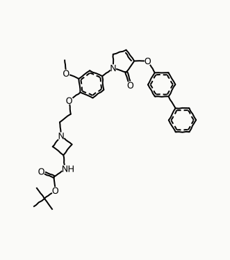 COc1cc(N2CC=C(Oc3ccc(-c4ccccc4)cc3)C2=O)ccc1OCCN1CC(NC(=O)OC(C)(C)C)C1